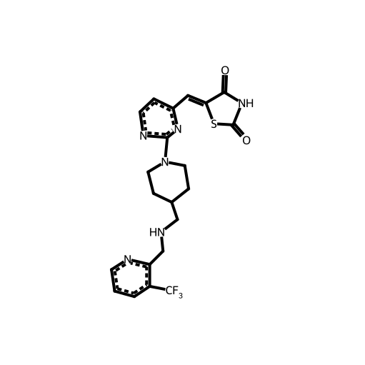 O=C1NC(=O)C(=Cc2ccnc(N3CCC(CNCc4ncccc4C(F)(F)F)CC3)n2)S1